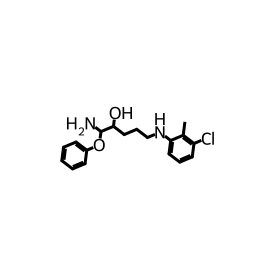 Cc1c(Cl)cccc1NCCCC(O)C(N)Oc1ccccc1